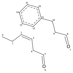 CC/C=C\CC=O.O=CCCc1ccccc1